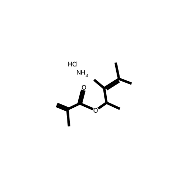 C=C(C)C(=O)OC(C)C(C)=C(C)C.Cl.N